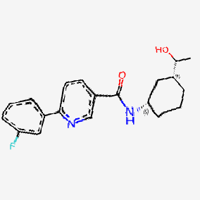 CC(O)[C@@H]1CCC[C@H](NC(=O)c2ccc(-c3cccc(F)c3)nc2)C1